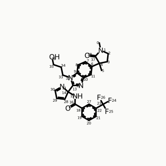 CN1CCC(C)(c2ccc3c(c2)nc(C2(NC(=O)c4cccc(C(F)(F)F)c4)C=CC=N2)n3CCCO)C1=O